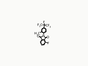 Cc1cc(C(F)(C(F)(F)F)C(F)(F)F)ccc1N1C(=O)c2cccc(F)c2C1=O